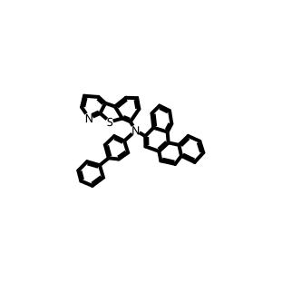 c1ccc(-c2ccc(N(c3cc4ccc5ccccc5c4c4ccccc34)c3cccc4c3sc3ncccc34)cc2)cc1